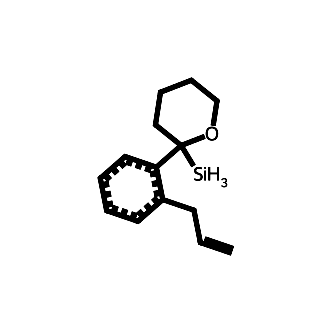 C=CCc1ccccc1C1([SiH3])CCCCO1